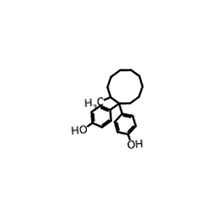 CC1CCCCCCCCC1(c1ccc(O)cc1)c1ccc(O)cc1